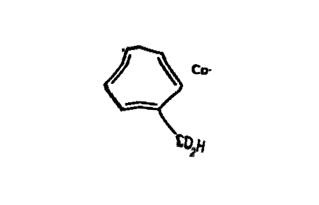 O=C(O)c1cc[c]cc1.[Co]